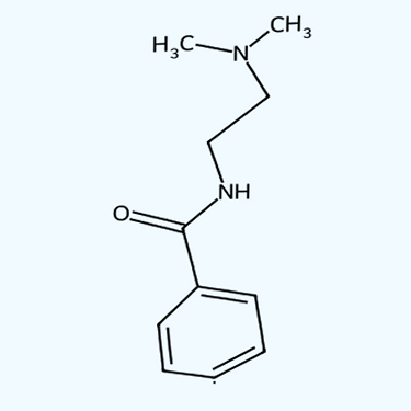 CN(C)CCNC(=O)c1cc[c]cc1